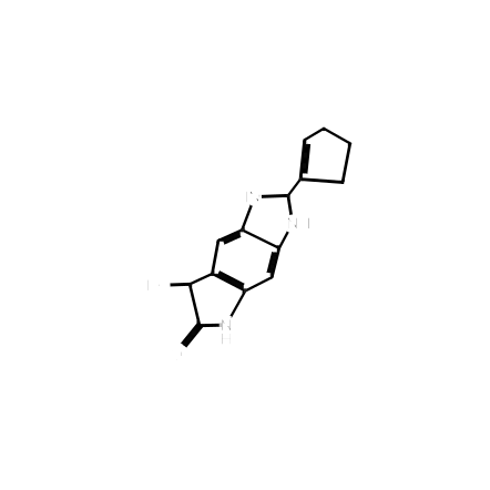 CC1C(=O)Nc2cc3c(cc21)NC(C1=CCCC1)N3